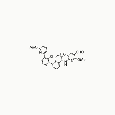 COc1cccc(-c2ccnc(-c3cccc4c3CCC[C@@H]4Nc3nc(OC)c(C=O)cc3C(F)(F)F)c2Cl)n1